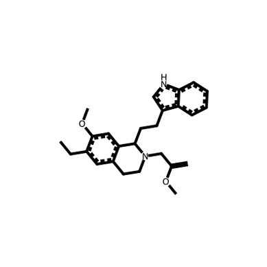 C=C(CN1CCc2cc(CC)c(OC)cc2C1CCc1c[nH]c2ccccc12)OC